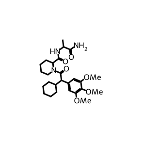 COc1cc(C(C(=O)N2CCCCC2C(=O)NC(C)C(N)=O)C2CCCCC2)cc(OC)c1OC